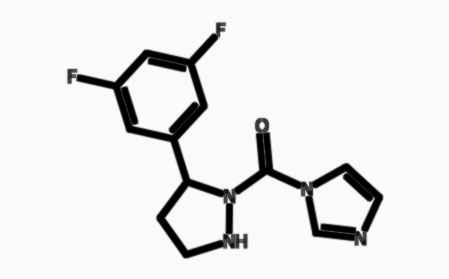 O=C(N1NCCC1c1cc(F)cc(F)c1)n1ccnc1